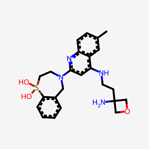 Cc1ccc2nc(N3CCS(O)(O)c4ccccc4C3)cc(NCCC3(N)COC3)c2c1